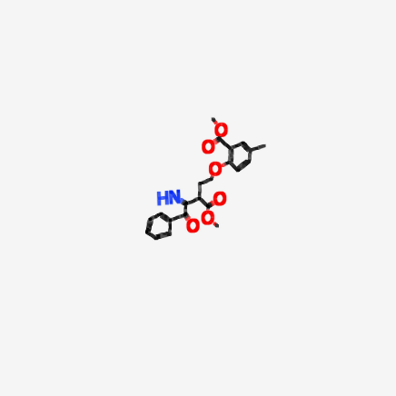 COC(=O)c1cc(C)ccc1OCCC(C(=N)C(=O)c1ccccc1)C(=O)OC